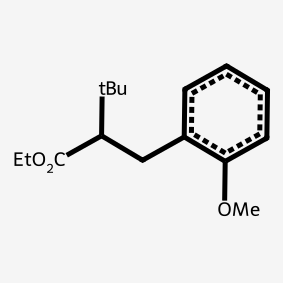 CCOC(=O)C(Cc1ccccc1OC)C(C)(C)C